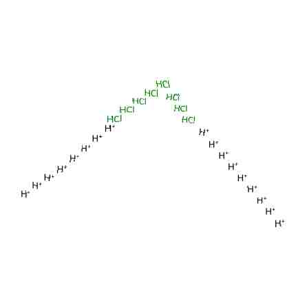 Cl.Cl.Cl.Cl.Cl.Cl.Cl.Cl.[H+].[H+].[H+].[H+].[H+].[H+].[H+].[H+].[H+].[H+].[H+].[H+].[H+].[H+].[H+].[H+].[H+]